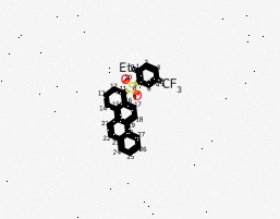 CCc1ccc(C(F)(F)F)cc1S(=O)(=O)C1CCCc2c1ccc1c2ccc2ccccc21